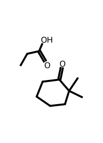 CC1(C)CCCCC1=O.CCC(=O)O